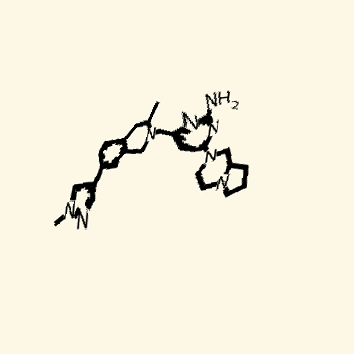 CC1Cc2ccc(-c3cnn(C)c3)cc2CN1c1cc(N2CCN3CCCC3C2)nc(N)n1